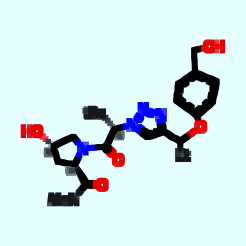 CCC(Oc1ccc(CO)cc1)c1cn([C@H](C(=O)N2C[C@@H](O)C[C@@H]2C(=O)NC)C(C)(C)C)nn1